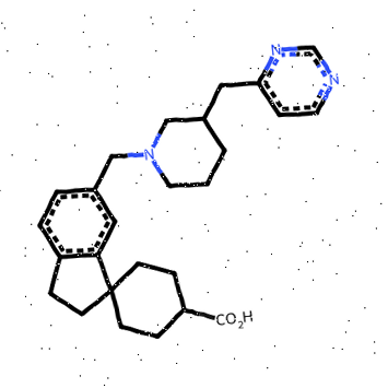 O=C(O)C1CCC2(CCc3ccc(CN4CCCC(Cc5ccncn5)C4)cc32)CC1